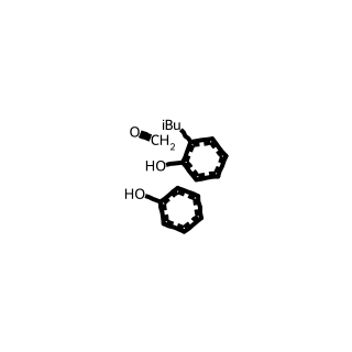 C=O.CCC(C)c1ccccc1O.Oc1ccccc1